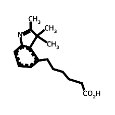 CC1=Nc2cccc(CCCCCC(=O)O)c2C1(C)C